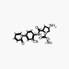 CC(C)(C)OC(=O)N1C[C@@H](N)CC1C(=O)Nc1ccc(-n2ccccc2=O)cc1C#N